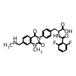 CNCc1ccc2c(=O)n(-c3ccc(C[C@H](NC(=O)c4c(F)cccc4F)C(=O)O)cc3)c(=O)n(C)c2c1